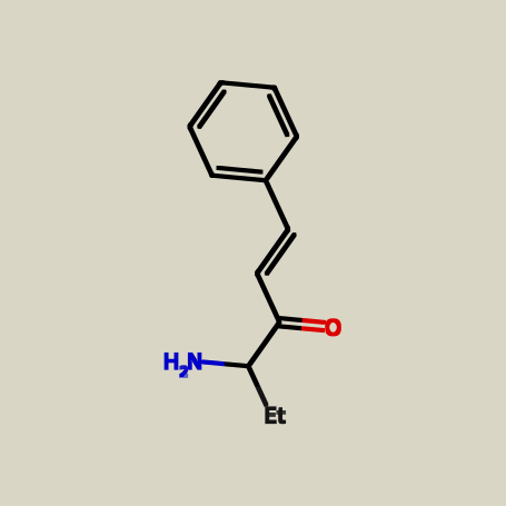 [CH2]CC(N)C(=O)/C=C/c1ccccc1